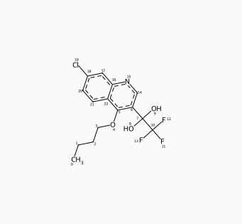 CCCCOc1c(C(O)(O)C(F)(F)F)cnc2cc(Cl)ccc12